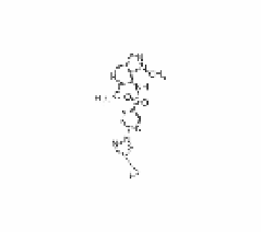 COc1ncc2cnn(C)c2c1NS(=O)(=O)c1ccc(-n2cc(C3CC3)cn2)nc1